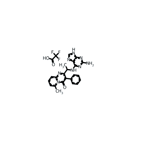 Cc1cccc2nc(C(C)Nc3nc(N)nc4[nH]cnc34)c(-c3ccccc3)c(=O)n12.O=C(O)C(F)(F)F